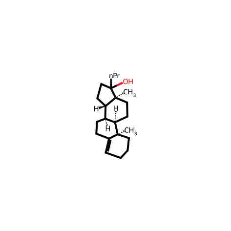 CCCC1(O)CC[C@H]2[C@@H]3CCC4=CCCC[C@]4(C)[C@@H]3CC[C@@]21C